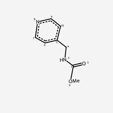 COC(=O)NCc1ccncc1